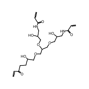 C=CC(=O)CCC(O)COCC(COCC(O)CNC(=O)C=C)OCC(O)CNC(=O)C=C